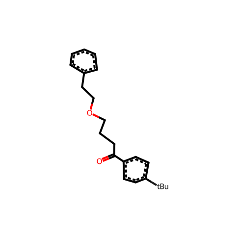 CC(C)(C)c1ccc(C(=O)CCCOCCc2ccccc2)cc1